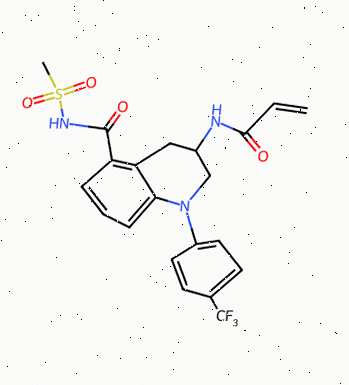 C=CC(=O)NC1Cc2c(C(=O)NS(C)(=O)=O)cccc2N(c2ccc(C(F)(F)F)cc2)C1